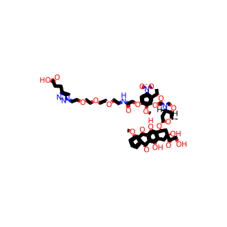 COc1cc(C(C)OC(=O)N2CO[C@@H]3[C@H](C)O[C@@H](O[C@H]4C[C@](O)(C(=O)CO)Cc5c(O)c6c(c(O)c54)C(=O)c4c(OC)cccc4C6=O)C[C@@H]32)c([N+](=O)[O-])cc1OCC(=O)NCCOCCOCCOCCn1cc(CCC(=O)O)nn1